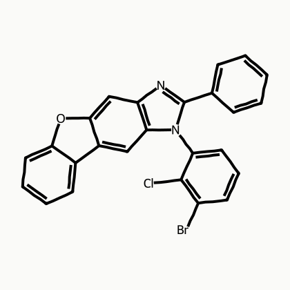 Clc1c(Br)cccc1-n1c(-c2ccccc2)nc2cc3oc4ccccc4c3cc21